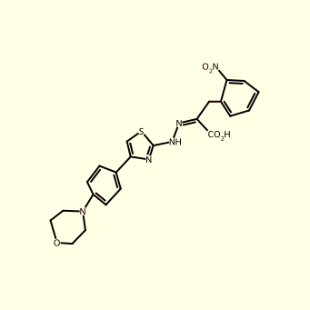 O=C(O)/C(Cc1ccccc1[N+](=O)[O-])=N\Nc1nc(-c2ccc(N3CCOCC3)cc2)cs1